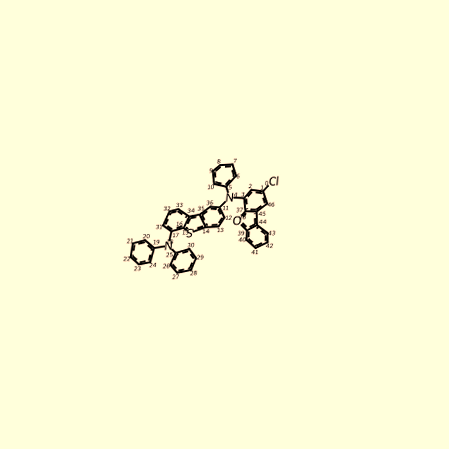 Clc1cc(N(c2ccccc2)c2ccc3sc4c(N(c5ccccc5)c5ccccc5)cccc4c3c2)c2oc3ccccc3c2c1